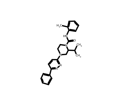 Cc1ccccc1NC(=O)N1CCN(c2ccc(-c3ccccc3)nn2)CC1C(C)C